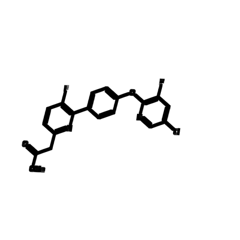 COC(=O)Cc1ccc(F)c(-c2ccc(Oc3ncc(Cl)cc3F)cc2)n1